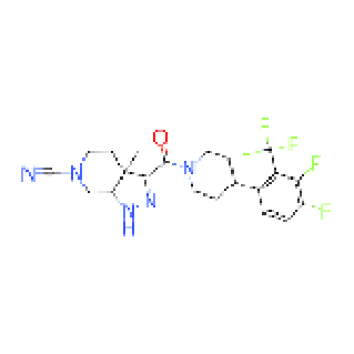 CC12CCN(C#N)CC1NN=C2C(=O)N1CCC(c2ccc(F)c(F)c2C(F)(F)F)CC1